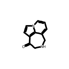 O=C1CNCc2cccn3ccc1c23